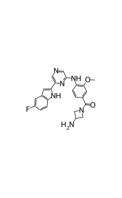 COc1cc(C(=O)N2CC(N)C2)ccc1Nc1cncc(-c2cc3cc(F)ccc3[nH]2)n1